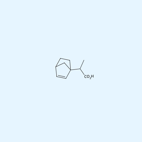 CC(C(=O)O)C12C=CC(CC1)C2